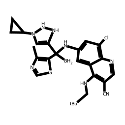 BC(Nc1cc(Cl)c2ncc(C#N)c(NCC(C)(C)C)c2c1)(C1=CN(C2CC2)NN1)c1scnc1C